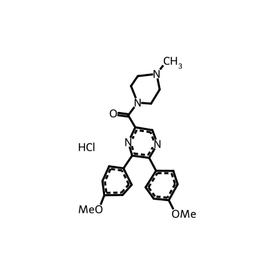 COc1ccc(-c2ncc(C(=O)N3CCN(C)CC3)nc2-c2ccc(OC)cc2)cc1.Cl